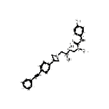 CN(C[C@@H](O)[C@@H](O)CN1CC(c2ccc(C#Cc3ccccc3)cc2)C1)C(=O)Nc1ccc(O)cc1